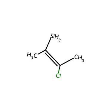 CC([SiH3])=C(C)Cl